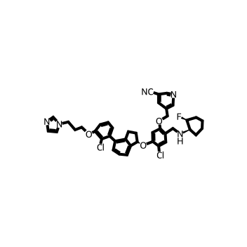 N#Cc1cncc(COc2cc(O[C@H]3CCc4c(-c5cccc(OCCCn6ccnc6)c5Cl)cccc43)c(Cl)cc2CN[C@@H]2CCCC[C@@H]2F)c1